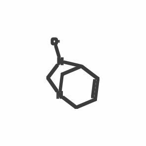 [O]N1CN2CC=CC1C2